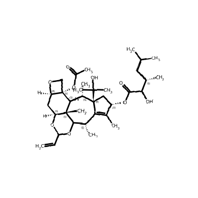 C=CC1OC2[C@@H](C)C3=C(C)[C@@H](OC(=O)C(O)[C@@H](C)CC(C)C)C[C@@]3(C(C)(C)O)[C@@H](C)[C@@H]3[C@]4(OC(C)=O)CO[C@@H]4C[C@H](O1)[C@@]23C